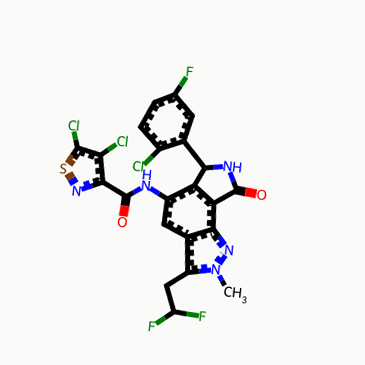 Cn1nc2c3c(c(NC(=O)c4nsc(Cl)c4Cl)cc2c1CC(F)F)C(c1cc(F)ccc1Cl)NC3=O